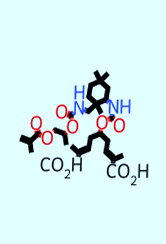 C=C(C)C(=O)OCC(C)OC(=O)NCC1(C)CCC(C)(C)CC1NC(=O)OC(CC=C(C)C(=O)O)CC=C(C)C(=O)O